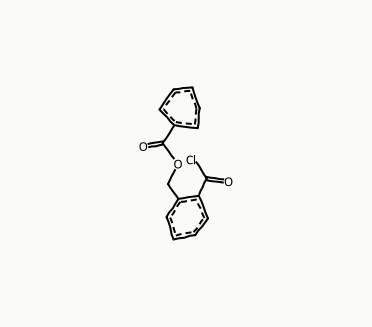 O=C(OCc1ccccc1C(=O)Cl)c1ccccc1